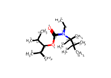 CCN(C(=O)OC(C(C)C)C(C)C)C(C)(C)C(C)(C)C